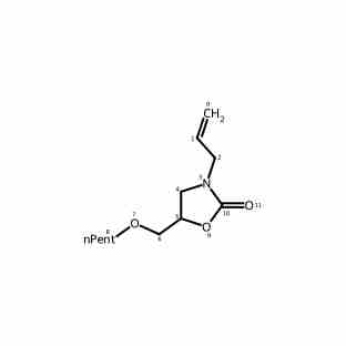 C=CCN1CC(COCCCCC)OC1=O